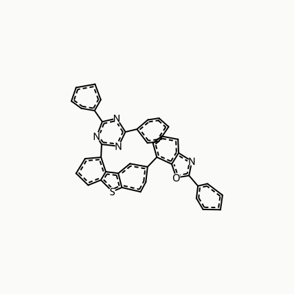 c1ccc(-c2nc(-c3ccccc3)nc(-c3cccc4sc5ccc(-c6cccc7nc(-c8ccccc8)oc67)cc5c34)n2)cc1